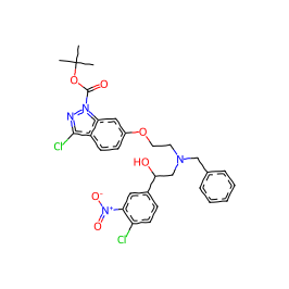 CC(C)(C)OC(=O)n1nc(Cl)c2ccc(OCCN(Cc3ccccc3)CC(O)c3ccc(Cl)c([N+](=O)[O-])c3)cc21